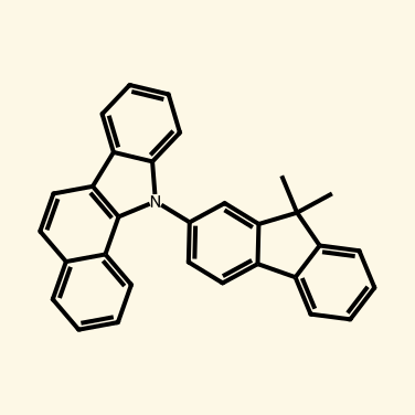 CC1(C)c2ccccc2-c2ccc(-n3c4ccccc4c4ccc5ccccc5c43)cc21